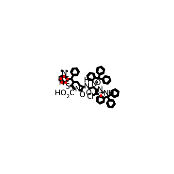 CN(C)c1nnc(SC2=C(C(=O)O)N3C(=O)C(NC(=O)C(=NOC(c4ccccc4)(c4ccccc4)c4ccccc4)c4nc(NC(c5ccccc5)(c5ccccc5)c5ccccc5)sc4Cl)C3CC2C(c2ccccc2)c2ccccc2)s1